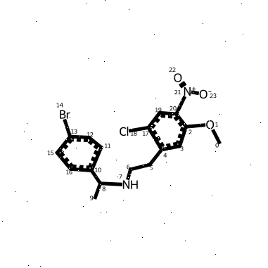 COc1cc(CCNC(C)c2ccc(Br)cc2)c(Cl)cc1[N+](=O)[O-]